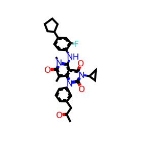 CC(=O)Cc1cccc(-n2c(=O)n(C3CC3)c(=O)c3c(Nc4ccc(C5CCCC5)cc4F)n(C)c(=O)c(C)c32)c1